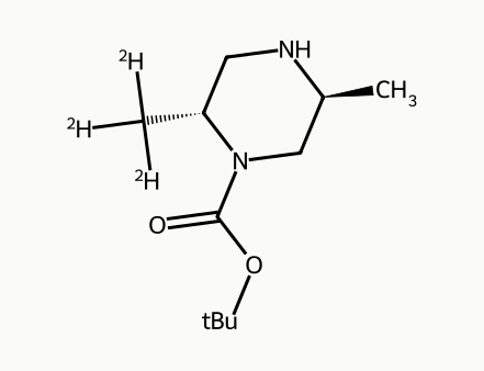 [2H]C([2H])([2H])[C@@H]1CN[C@@H](C)CN1C(=O)OC(C)(C)C